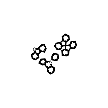 [c]1cccc2c3ccccc3n(-c3ccccc3)c12.[c]1cccc2oc3ccccc3c12.c1ccc2c(c1)-c1ccccc1C21c2ccccc2-c2ccccc21